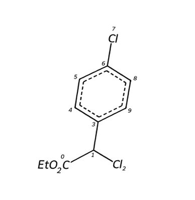 CCOC(=O)C(Cl)c1ccc(Cl)cc1